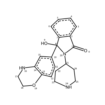 O=C1c2ccccc2C(O)(c2ccc3c(c2)NCCO3)N1C1CCNCC1